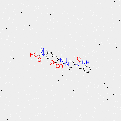 COC(=O)C(Cc1ccc2c(cnn2C(=O)O)c1)NC(=O)N1CCC(N2Cc3ccccc3NC2=O)CC1